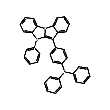 c1ccc(N(c2ccccc2)c2ccc(-c3c4ccccc4n4c5ccccc5n(-c5ccccc5)c34)cc2)cc1